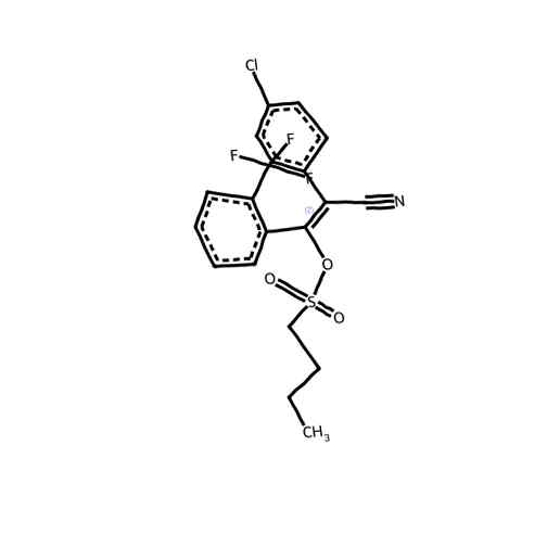 CCCCS(=O)(=O)O/C(=C(\C#N)c1ccc(Cl)cc1)c1ccccc1C(F)(F)F